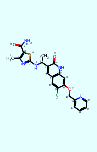 Cc1nc(N[C@@H](C)c2cc3cc(Cl)c(OCc4ccccn4)cc3[nH]c2=O)sc1C(N)=O